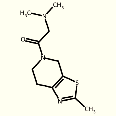 Cc1nc2c(s1)CN(C(=O)CN(C)C)CC2